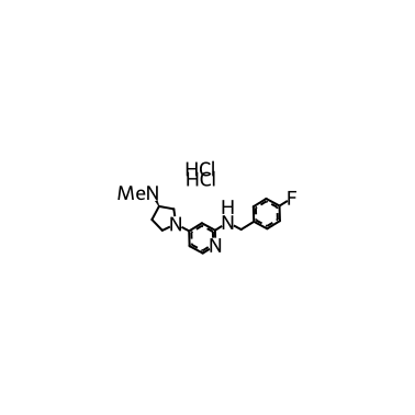 CN[C@@H]1CCN(c2ccnc(NCc3ccc(F)cc3)c2)C1.Cl.Cl